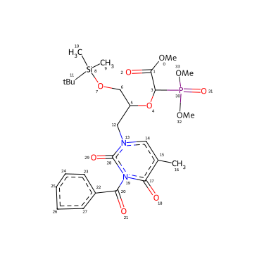 COC(=O)C(OC(CO[Si](C)(C)C(C)(C)C)Cn1cc(C)c(=O)n(C(=O)c2ccccc2)c1=O)P(=O)(OC)OC